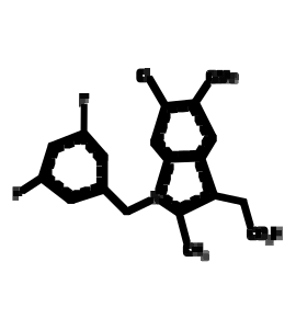 COc1cc2c(CC(=O)O)c(C)n(Cc3cc(F)cc(F)c3)c2cc1Cl